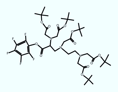 CC(C)(C)OC(=O)CN(CCN(CC(=O)OC(C)(C)C)CC(C(=O)Oc1c(F)c(F)c(F)c(F)c1F)N(CC(=O)OC(C)(C)C)CC(=O)OC(C)(C)C)CC(=O)OC(C)(C)C